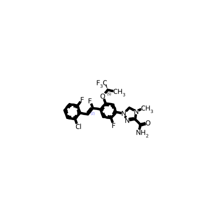 C[C@H](Oc1cc(N2CN(C)C(C(N)=O)=N2)c(F)cc1/C(F)=C/c1c(F)cccc1Cl)C(F)(F)F